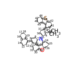 C[Si]1(C)c2cc(N(c3ccc(-c4cccc5ccccc45)cc3)c3cccc4oc5ccccc5c34)ccc2-c2c1ccc1sc3ccccc3c21